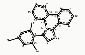 Cc1cc(C)c(-c2cnc3c4ccccc4c4ncccc4n23)c(C)c1